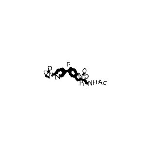 CC(=O)NCC1OC(=O)N2c3cc(F)c(-c4ccc(N5CCOC5=O)nc4)cc3C[C@@H]12